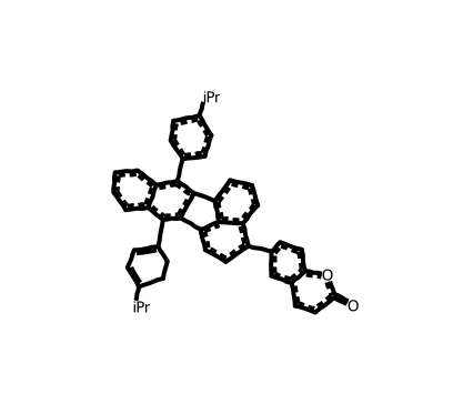 CC(C)C1=CC=C(c2c3c(c(-c4ccc(C(C)C)cc4)c4ccccc24)-c2cccc4c(-c5ccc6oc(=O)ccc6c5)ccc-3c24)CC1